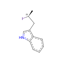 C[C@H](I)Cc1c[nH]c2ccccc12